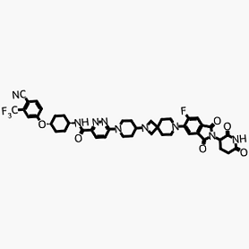 N#Cc1ccc(O[C@H]2CC[C@H](NC(=O)c3ccc(N4CCC(N5CC6(CCN(c7cc8c(cc7F)C(=O)N(C7CCC(=O)NC7=O)C8=O)CC6)C5)CC4)nn3)CC2)cc1C(F)(F)F